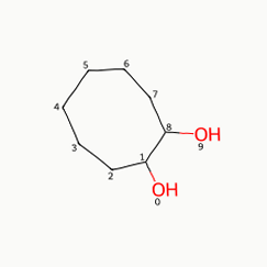 OC1CCCCCCC1O